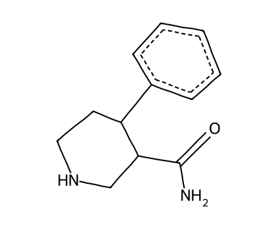 NC(=O)C1CNCCC1c1ccccc1